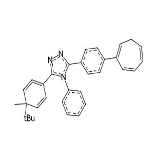 CC(C)(C)C1(C)C=C=C(c2nnc(-c3ccc(C4=CCC=CC=C4)cc3)n2-c2ccccc2)C=C1